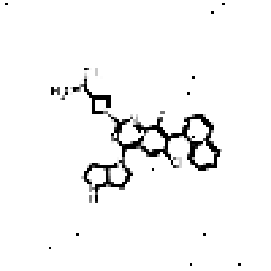 CN(C)C1CN(c2nc(N3CCC4NCCC43)c3cc(Cl)c(-c4cccc5ccccc45)c(F)c3n2)C1